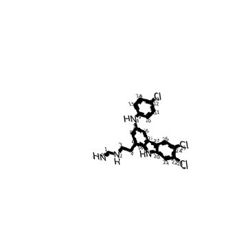 N=CNCCc1cc(Nc2ccc(Cl)cc2)cc2c1[nH]c1cc(Cl)c(Cl)cc12